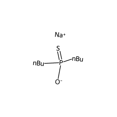 CCCCP([O-])(=S)CCCC.[Na+]